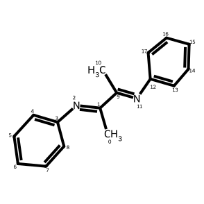 CC(=N\c1ccccc1)/C(C)=N/c1ccccc1